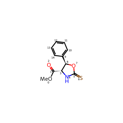 COC(=O)[C@H]1NC(=S)O[C@@H]1c1ccccc1